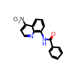 O=C(Nc1cccc2c([N+](=O)[O-])ccnc12)c1ccccc1